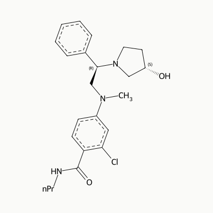 CCCNC(=O)c1ccc(N(C)C[C@@H](c2ccccc2)N2CC[C@H](O)C2)cc1Cl